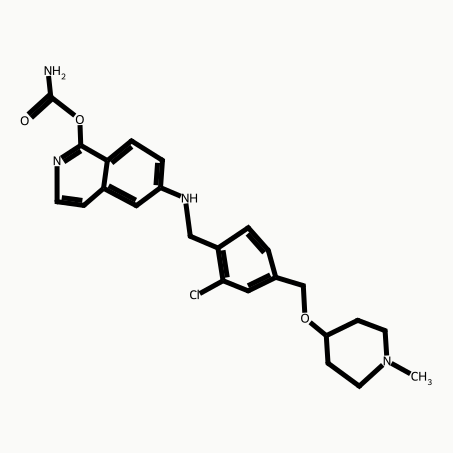 CN1CCC(OCc2ccc(CNc3ccc4c(OC(N)=O)nccc4c3)c(Cl)c2)CC1